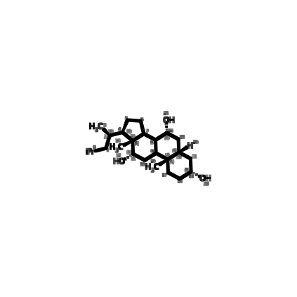 CC(C)C[C@@H](C)[C@H]1CCC2C3C(C[C@H](O)[C@@]21C)[C@@]1(C)CC[C@@H](O)C[C@H]1C[C@H]3O